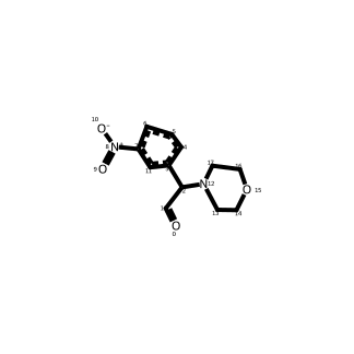 O=CC(c1cccc([N+](=O)[O-])c1)N1CCOCC1